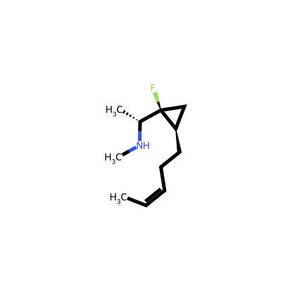 C/C=C\CC[C@@H]1C[C@@]1(F)[C@@H](C)NC